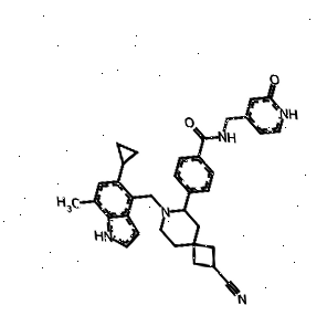 Cc1cc(C2CC2)c(CN2CCC3(CC(C#N)C3)CC2c2ccc(C(=O)NCc3cc[nH]c(=O)c3)cc2)c2cc[nH]c12